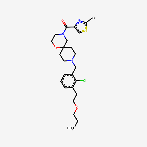 CC(C)c1nc(C(=O)N2CCOC3(CCN(Cc4cccc(CCOCCC(=O)O)c4Cl)CC3)C2)cs1